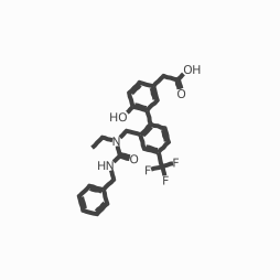 CCN(Cc1cc(C(F)(F)F)ccc1-c1cc(CC(=O)O)ccc1O)C(=O)NCc1ccccc1